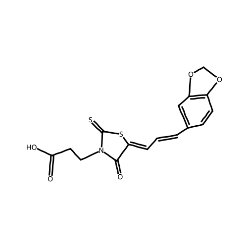 O=C(O)CCN1C(=O)C(=CC=Cc2ccc3c(c2)OCO3)SC1=S